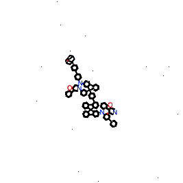 c1ccc(-c2ccc(N(c3ccc4c(c3)C3(c5ccccc5-4)c4ccccc4-c4c(-c5ccc(C6(c7ccccc7)c7ccccc7-c7ccc(N(c8ccc(-c9ccc(C%10%11CC%12CC(CC(C%12)C%10)C%11)cc9)cc8)c8cc9oc%10ccccc%10c9cn8)cc76)cc5)cccc43)c3cccc4oc5cnccc5c34)cc2)cc1